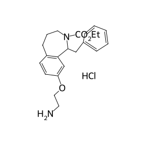 CCOC(=O)N1CCCc2ccc(OCCN)cc2C1Cc1ccccc1.Cl